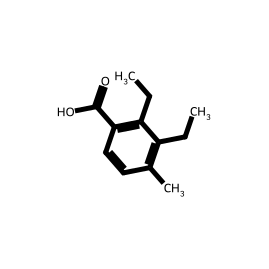 CCc1c(C)ccc(C(=O)O)c1CC